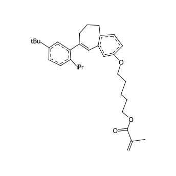 C=C(C)C(=O)OCCCCCOc1ccc2c(c1)C=C(c1cc(C(C)(C)C)ccc1C(C)C)CCC2